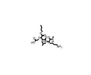 CCCCOC(=O)[C@H](OCC(=O)O)[C@H](CC(C)C)C(=O)N[C@H](CCCCN)C(=O)NC